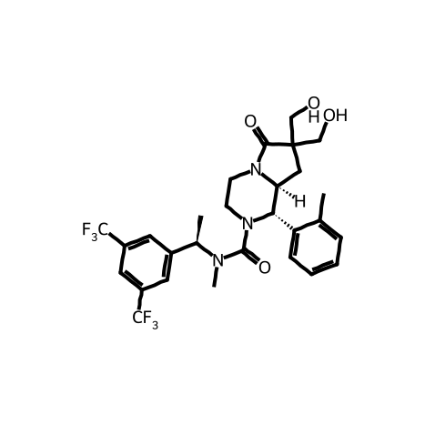 Cc1ccccc1[C@H]1[C@@H]2CC(CO)(CO)C(=O)N2CCN1C(=O)N(C)[C@H](C)c1cc(C(F)(F)F)cc(C(F)(F)F)c1